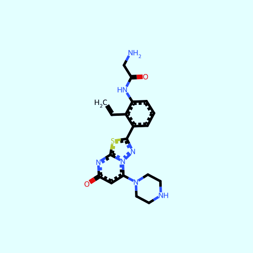 C=Cc1c(NC(=O)CN)cccc1-c1nn2c(N3CCNCC3)cc(=O)nc2s1